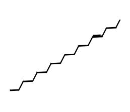 CC[CH]C=CCCCCCCCCCCCC